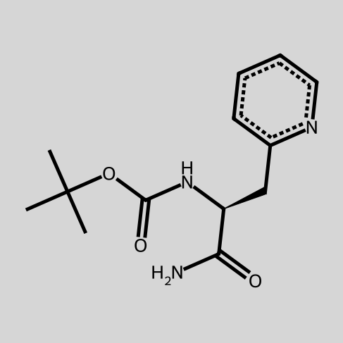 CC(C)(C)OC(=O)N[C@@H](Cc1ccccn1)C(N)=O